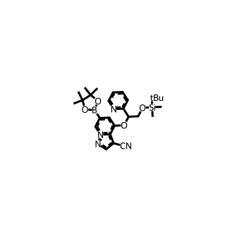 CC1(C)OB(c2cc(OC(CO[Si](C)(C)C(C)(C)C)c3ccccn3)c3c(C#N)cnn3c2)OC1(C)C